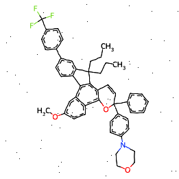 CCCC1(CCC)c2cc(-c3ccc(C(F)(F)F)cc3)ccc2-c2c1c1c(c3ccc(OC)cc23)OC(c2ccccc2)(c2ccc(N3CCOCC3)cc2)C=C1